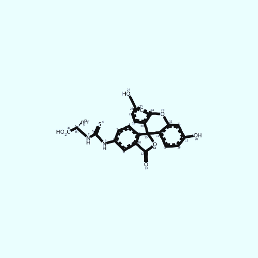 CCC[C@H](NC(=S)Nc1ccc2c(c1)C(=O)OC21c2ccc(O)cc2Oc2cc(O)ccc21)C(=O)O